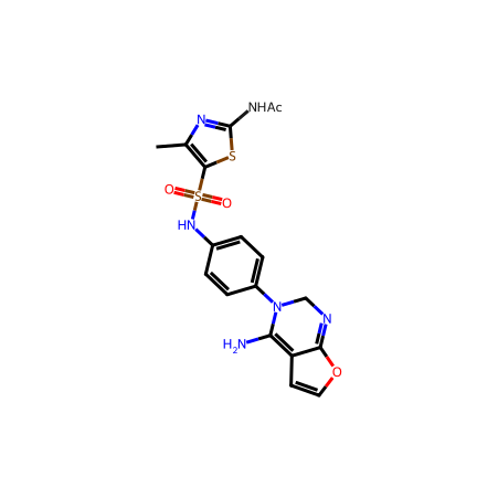 CC(=O)Nc1nc(C)c(S(=O)(=O)Nc2ccc(N3CN=c4occc4=C3N)cc2)s1